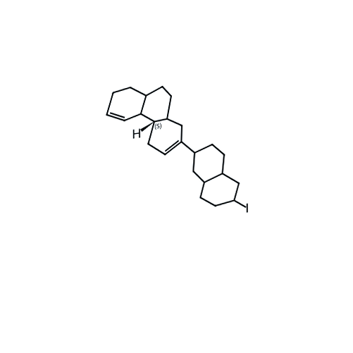 IC1CCC2CC(C3=CC[C@H]4C(CCC5CCC=CC54)C3)CCC2C1